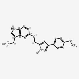 Cn1nc(-c2ccc(OC(F)(F)F)cc2)cc1COc1ccc2[nH]cc(CC(=O)O)c2c1